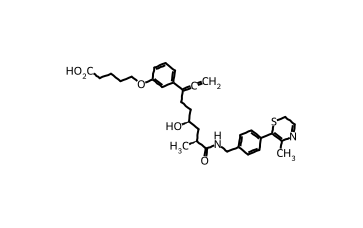 C=C=C(CC[C@H](O)C[C@H](C)C(=O)NCc1ccc(C2=C(C)N=CCS2)cc1)c1cccc(OCCCCC(=O)O)c1